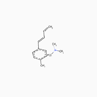 C=CC=Cc1ccc(C)cc1.CN(C)C